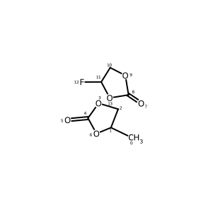 CC1COC(=O)O1.O=C1OCC(F)O1